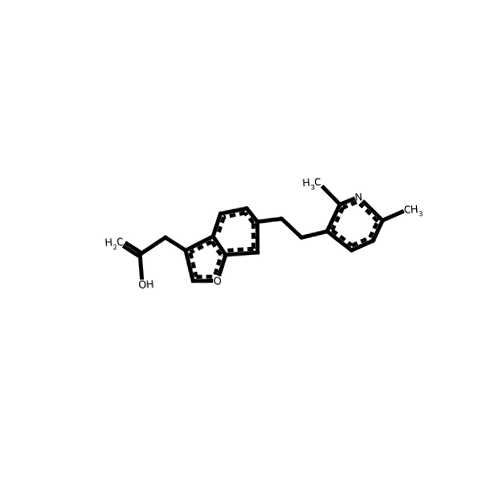 C=C(O)Cc1coc2cc(CCc3ccc(C)nc3C)ccc12